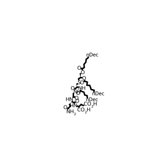 CCCCCCCCCCCCCCCC(=O)OC[C@H](CSC[C@H](NC(=O)CCCCCCCCCCCCC)C(=O)NCC(=O)N[C@@H](CCC(N)=O)C(=O)N[C@@H](CCC(=O)O)C(=O)O)OC(=O)CCCCCCCCCCCCCCC